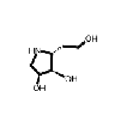 OCC[C@H]1NC[C@H](O)[C@@H]1O